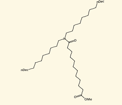 CCCCCCCCCCCCCCCCCCN(CCCCCCCCCCCCCCCCCC)C(=O)CCCCCCCCCCC(=O)OC